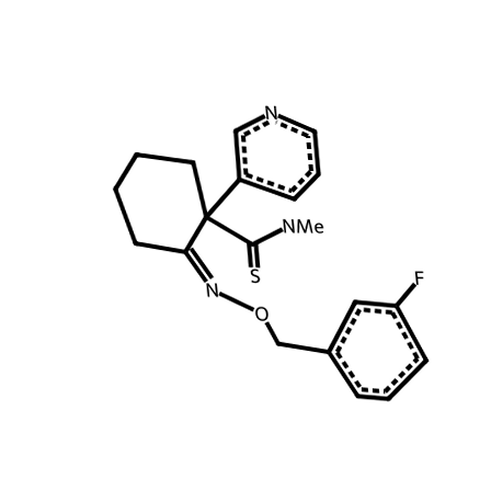 CNC(=S)C1(c2cccnc2)CCCC/C1=N/OCc1cccc(F)c1